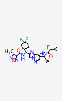 Cc1nonc1C(=O)N[C@H](c1cn2ncc(C(NC(=O)[C@H](F)C3CC3)C3CC3)cc2n1)C1CCC(F)(F)CC1